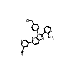 N#Cc1cncc(-c2ccc3nc(-c4cccnc4N)n(-c4ccc(CCl)cc4)c3n2)c1